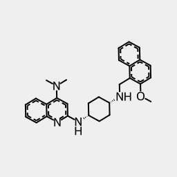 COc1ccc2ccccc2c1CN[C@H]1CC[C@@H](Nc2cc(N(C)C)c3ccccc3n2)CC1